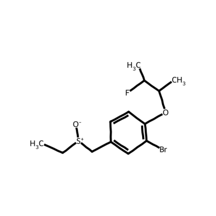 CC[S+]([O-])Cc1ccc(OC(C)C(C)F)c(Br)c1